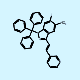 O=[N+]([O-])c1cc2c(C=Cc3cccnc3)nn(C(c3ccccc3)(c3ccccc3)c3ccccc3)c2cc1F